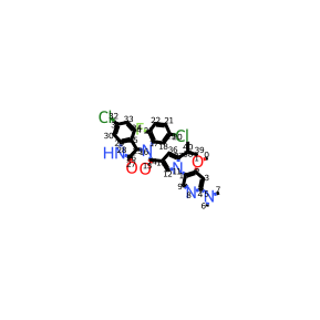 COc1cc(N(C)C)ncc1-n1cc(C(=O)N(c2cc(Cl)ccc2F)C2C(=O)Nc3cc(Cl)ccc32)cc1C(C)C